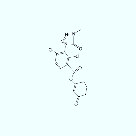 Cn1nnn(-c2c(Cl)ccc(C(=O)OC3=CC(=O)CCC3)c2Cl)c1=O